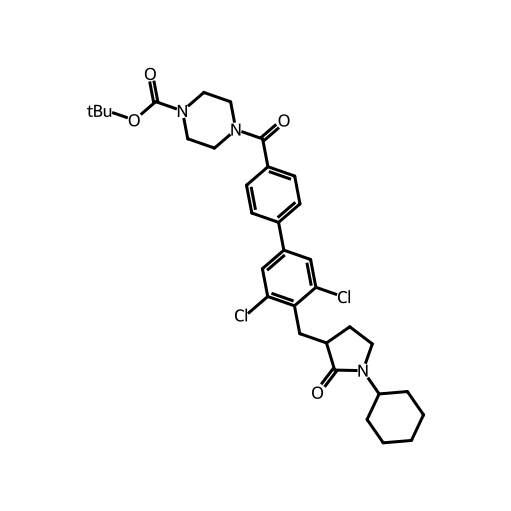 CC(C)(C)OC(=O)N1CCN(C(=O)c2ccc(-c3cc(Cl)c(CC4CCN(C5CCCCC5)C4=O)c(Cl)c3)cc2)CC1